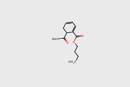 COC(=O)C1CC=CC=C1C(=O)OCCCC(=O)O